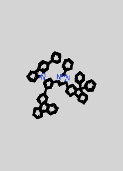 c1ccc(-c2ccc3c4ccccc4n(-c4cc(-c5ccc6c7ccccc7c7ccccc7c6c5)cc(-c5cc(-c6ccc7c(c6)C(c6ccccc6)(c6ccccc6)c6ccccc6-7)nc(-c6ccccc6)n5)c4)c3c2)cc1